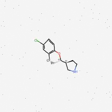 CC(C)[C@H](Oc1ccc(Cl)cc1C(F)(F)F)[C@H]1CCNC1